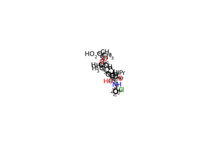 CC(C)C1=C2[C@H]3CC[C@@H]4[C@@]5(C)CC[C@H](OC(=O)CC(C)(C)C(=O)O)C(C)(C)C5CC[C@@]4(C)[C@]3(C)CCC2(C(O)CNCc2ccccc2Cl)CC1=O